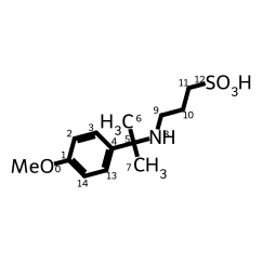 COc1ccc(C(C)(C)NCCCS(=O)(=O)O)cc1